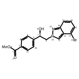 COC(=O)c1ccc([C@@H](O)Cn2cc3c(Br)cccc3n2)cc1